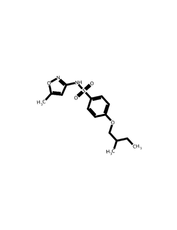 CCC(C)COc1ccc(S(=O)(=O)Nc2cc(C)on2)cc1